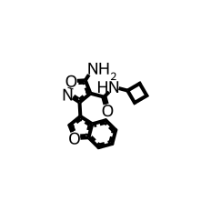 Nc1onc(-c2coc3ccccc23)c1C(=O)NC1CCC1